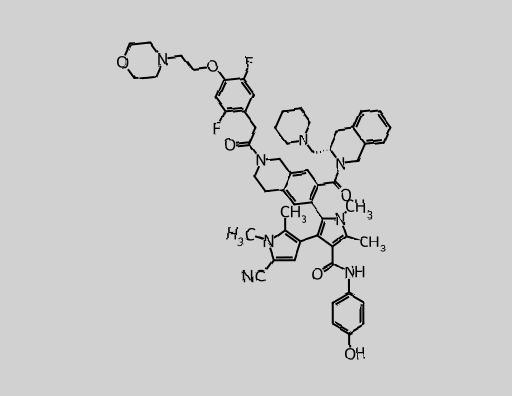 Cc1c(-c2c(C(=O)Nc3ccc(O)cc3)c(C)n(C)c2-c2cc3c(cc2C(=O)N2Cc4ccccc4C[C@H]2CN2CCCCC2)CN(C(=O)Cc2cc(F)c(OCCN4CCOCC4)cc2F)CC3)cc(C#N)n1C